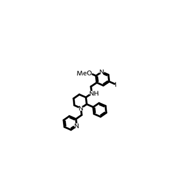 COc1ncc(I)cc1CNC1CCCN(Cc2ccccn2)C1c1ccccc1